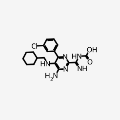 N=C(NC(=O)O)c1nc(N)c(NCC2CCCCC2)c(-c2cccc(Cl)c2)n1